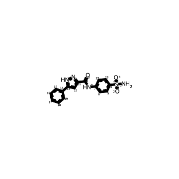 NS(=O)(=O)c1ccc(NC(=O)c2cc(-c3ccccc3)[nH]n2)cc1